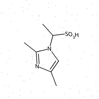 Cc1cn(C(C)S(=O)(=O)O)c(C)n1